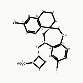 O=C(O)N1CC[C@H]1CN1C[C@@]2(CCCc3cc(Cl)ccc32)COc2ccc(I)cc21